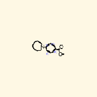 COC(=O)C1=C/C=C\C(N2CCCCCCC2)=C/C=C\1